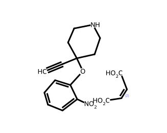 C#CC1(Oc2ccccc2[N+](=O)[O-])CCNCC1.O=C(O)/C=C\C(=O)O